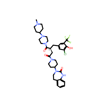 CN1CCC(N2CCN(C(=O)[C@H](CC(=O)N3CCC(N4CCc5ccccc5NC4=O)CC3)Cc3cc(Cl)c(O)c(C(F)(F)F)c3)CC2)CC1